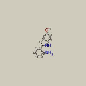 COc1ccc2c(c1)CC(c1ccccc1N)N2